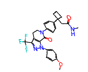 CNC(=O)CC1(c2ccc(N3CCc4c(C(F)(F)F)nn(-c5ccc(OC)cc5)c4C3=O)cc2)CCC1